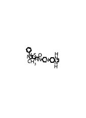 Cc1nn(-c2ccccc2)c2sc(C(=O)NC3CCN(C4CCC5(CC4)NCCN5)CC3)cc12